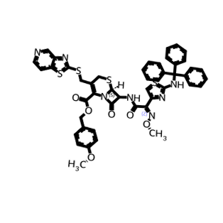 CO/N=C(\C(=O)NC1C(=O)N2C(C(=O)OCc3ccc(OC)cc3)=C(CSc3nc4cnccc4s3)CS[C@@H]12)c1csc(NC(c2ccccc2)(c2ccccc2)c2ccccc2)n1